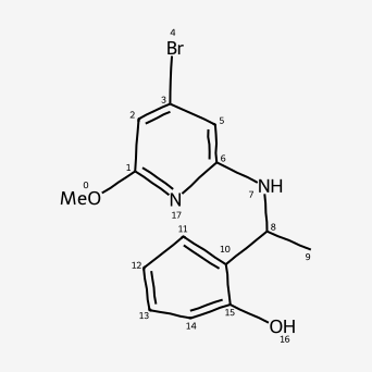 COc1cc(Br)cc(NC(C)c2ccccc2O)n1